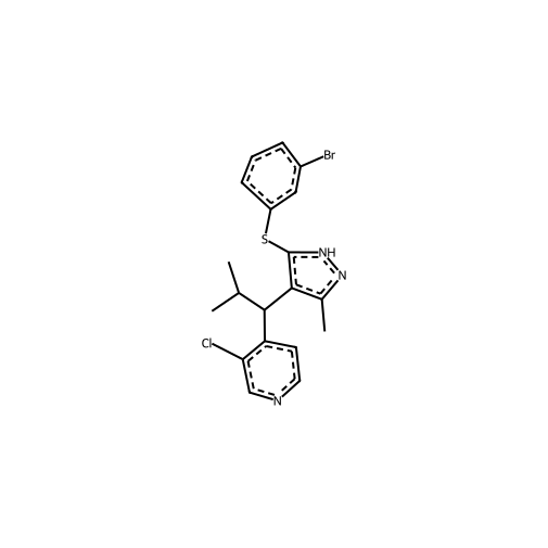 Cc1n[nH]c(Sc2cccc(Br)c2)c1C(c1ccncc1Cl)C(C)C